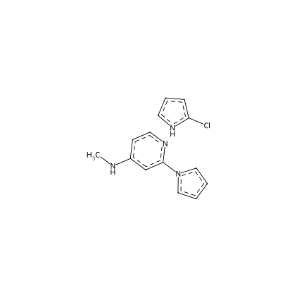 CNc1ccnc(-n2cccc2)c1.Clc1ccc[nH]1